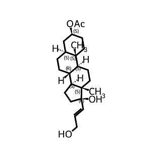 CC(=O)O[C@H]1CC[C@@]2(C)[C@@H](CC[C@@H]3[C@@H]2CC[C@@]2(C)[C@H]3CC[C@@]2(O)C=CCO)C1